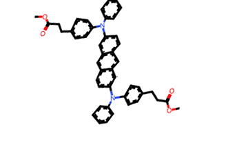 COC(=O)CCc1ccc(N(c2[c]c3cc4ccc(N(c5ccccc5)c5ccc(CCC(=O)OC)cc5)cc4cc3cc2)c2ccccc2)cc1